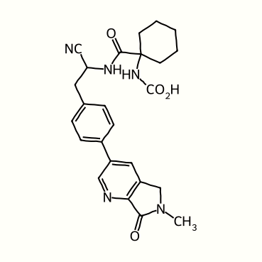 CN1Cc2cc(-c3ccc(CC(C#N)NC(=O)C4(NC(=O)O)CCCCC4)cc3)cnc2C1=O